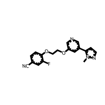 Cn1nccc1-c1cncc(OCCOc2ccc(C#N)cc2F)c1